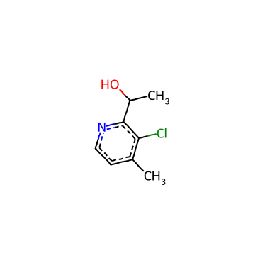 Cc1ccnc(C(C)O)c1Cl